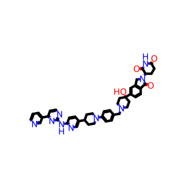 O=C1CCC(N2Cc3cc(C4(O)CCN(Cc5ccc(N6CCC(c7ccc(Nc8nccc(-c9cccnc9)n8)nc7)CC6)cc5)CC4)ccc3C2=O)C(=O)N1